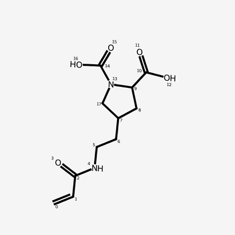 C=CC(=O)NCCC1CC(C(=O)O)N(C(=O)O)C1